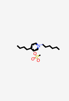 CCCCCC[n+]1ccc(CCCC)cc1.CS(=O)(=O)[O-]